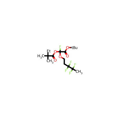 CCC(C)(C)C(=O)OC(F)(OCCC(F)(F)C(C)(F)F)C(=O)OC(C)(C)C